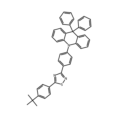 CC(C)(C)c1ccc(-c2nc(-c3ccc(N4c5ccccc5C(c5ccccc5)(c5ccccc5)c5ccccc54)cc3)ns2)cc1